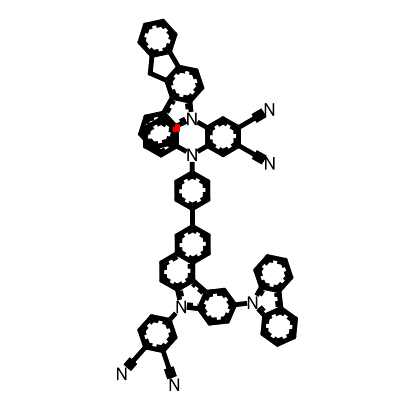 N#Cc1ccc(-n2c3ccc(-n4c5ccccc5c5ccccc54)cc3c3c4ccc(-c5ccc(N(c6ccccc6)c6cc(C#N)c(C#N)cc6-n6c7ccccc7c7c8c(ccc76)-c6ccccc6C8)cc5)cc4ccc32)cc1C#N